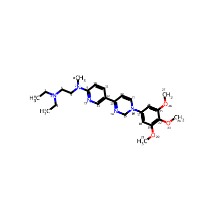 CCN(CC)CCN(C)c1ccc(C2=NCN(c3cc(OC)c(OC)c(OC)c3)C=C2)cn1